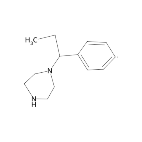 CCC(c1cc[c]cc1)N1CCNCC1